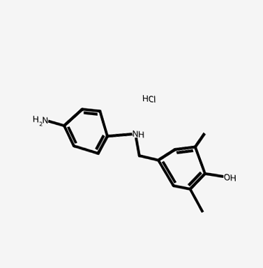 Cc1cc(CNc2ccc(N)cc2)cc(C)c1O.Cl